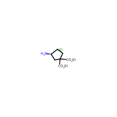 CCOC(=O)C1(C(=O)OCC)CC[C@H](N)C1.Cl